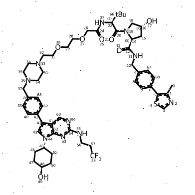 Cc1ncsc1-c1ccc(CNC(=O)[C@@H]2C[C@@H](O)CN2C(=O)[C@@H](NC(=O)COCCOCCN2CCN(Cc3ccc(-c4cn([C@H]5CC[C@H](O)CC5)c5nc(NCCC(F)(F)F)ncc45)cc3)CC2)C(C)(C)C)cc1